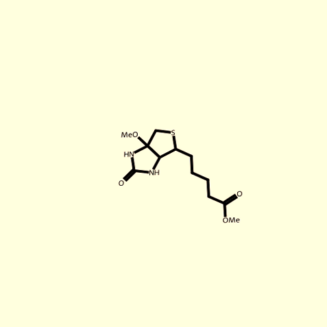 COC(=O)CCCCC1SCC2(OC)NC(=O)NC12